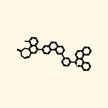 C=C1CC=Cc2cc(-c3ccc4c(ccc5ccc(-c6cccc(-c7nc8ccccc8c8c7ccc7ccccc78)c6)cc54)c3)c3cccc(C)c3c2C1